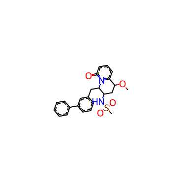 COC1CC(NS(C)(=O)=O)C(Cc2cccc(-c3ccccc3)c2)n2c1cccc2=O